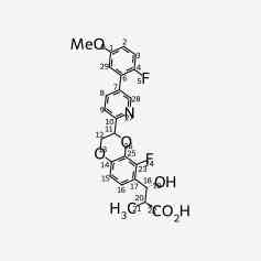 COc1ccc(F)c(-c2ccc(C3COc4ccc([C@H](O)[C@H](C)C(=O)O)c(F)c4O3)nc2)c1